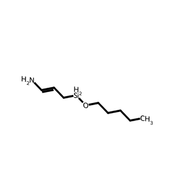 CCCCCO[SiH2]CC=CN